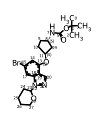 CC(C)(C)OC(=O)N[C@H]1CC[C@H](Oc2cc(Br)cc3c2cnn3C2CCCCO2)C1